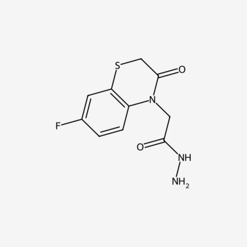 NNC(=O)CN1C(=O)CSc2cc(F)ccc21